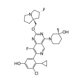 C[C@@]1(O)CCCN(c2nc(OC[C@@]34CCCN3C[C@H](F)C4)nc3c(F)c(-c4cc(O)cc(Cl)c4C4CC4)ncc23)C1